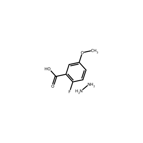 COc1ccc(F)c(C(=O)O)c1.NN